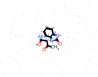 CC(=O)CC(N)=O.O=C1N=c2ccccc2=N1